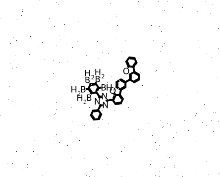 Bc1c(B)c(B)c(-c2nc(-c3ccccc3)nc(-c3cccc4c3oc3ccc(-c5cccc6c5oc5ccccc56)cc34)n2)c(B)c1B